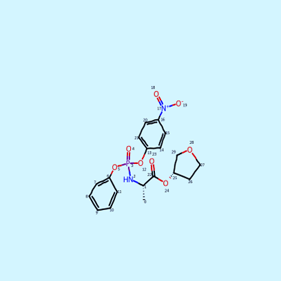 C[C@H](NP(=O)(Oc1ccccc1)Oc1ccc([N+](=O)[O-])cc1)C(=O)O[C@H]1CCOC1